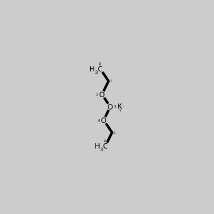 CCOOOCC.[K]